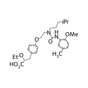 CCOC(Cc1ccc(OCCN(CCCC(C)C)C(=O)Nc2cc(C)ccc2OC)cc1)C(=O)O